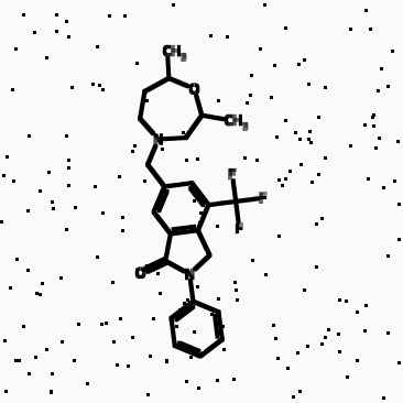 CC1CCN(Cc2cc3c(c(C(F)(F)F)c2)CN(c2ccccc2)C3=O)CC(C)O1